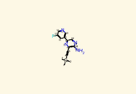 C[Si](C)(C)C#Cc1nc(-c2cncc(F)c2)cnc1N